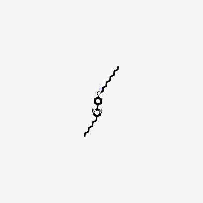 CCCCCCCC/C=C/Oc1ccc(-c2ncc(CCCCCCC)cn2)cc1